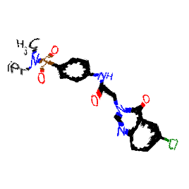 CC(C)N(C)S(=O)(=O)c1ccc(NC(=O)Cn2cnc3ccc(Cl)cc3c2=O)cc1